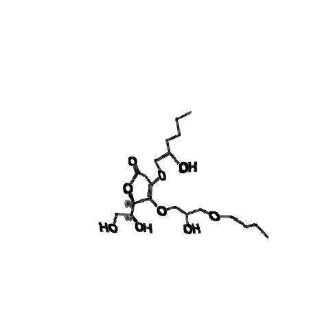 CCCCOCC(O)COC1=C(OCC(O)CCCC)C(=O)O[C@@H]1[C@@H](O)CO